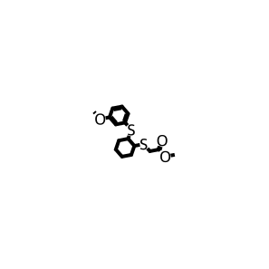 COC(=O)CSC1CCCCC1Sc1cccc(OC)c1